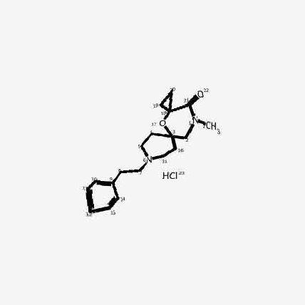 CN1CC2(CCN(CCc3ccccc3)CC2)OC2(CC2)C1=O.Cl